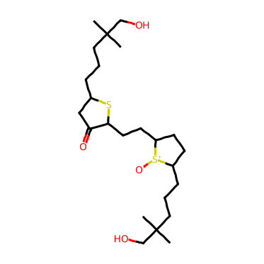 CC(C)(CO)CCCC1CC(=O)C(CCC2CCC(CCCC(C)(C)CO)[S+]2[O-])S1